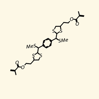 C=C(C)C(=O)OCCC1CSC(C(SC)c2ccc(C(SC)C3SCC(CCOC(=O)C(=C)C)S3)cc2)S1